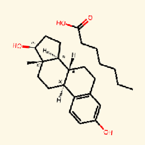 CCCCCCC(=O)O.C[C@]12CC[C@@H]3c4ccc(O)cc4CC[C@H]3[C@@H]1CC[C@@H]2O